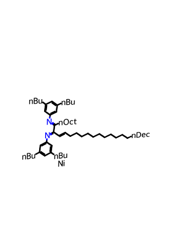 CCCCCCCCCCCCCCCCCCCCC/C=C/C(=N\c1cc(CCCC)cc(CCCC)c1)C(/CCCCCCCC)=N/c1cc(CCCC)cc(CCCC)c1.[Ni]